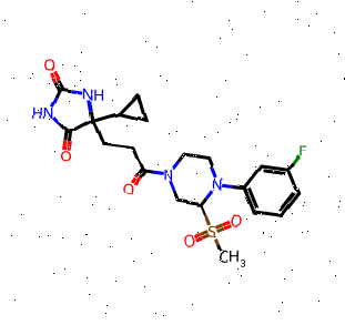 CS(=O)(=O)C1CN(C(=O)CCC2(C3CC3)NC(=O)NC2=O)CCN1c1cccc(F)c1